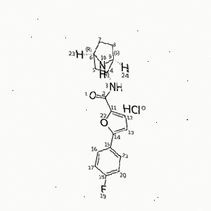 Cl.O=C(N[C@@H]1C[C@H]2CC[C@@H]1N2)c1ccc(-c2ccc(F)cc2)o1